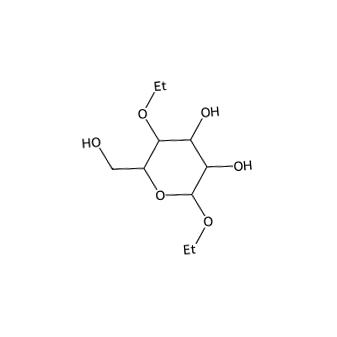 CCOC1OC(CO)C(OCC)C(O)C1O